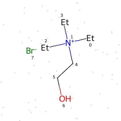 CC[N+](CC)(CC)CCO.[Br-]